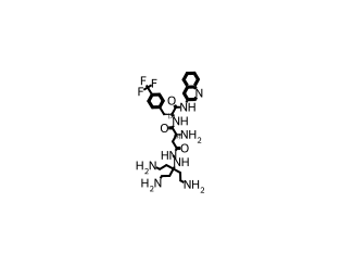 NCCC(CCN)(CCN)NNC(=O)C[C@H](N)C(=O)N[C@@H](Cc1ccc(C(F)(F)F)cc1)C(=O)Nc1cnc2ccccc2c1